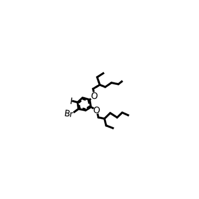 CCCCC(CC)COc1cc(Br)c(I)cc1OCC(CC)CCCC